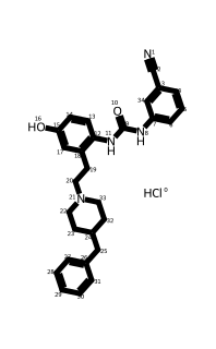 Cl.N#Cc1cccc(NC(=O)Nc2ccc(O)cc2CCN2CCC(Cc3ccccc3)CC2)c1